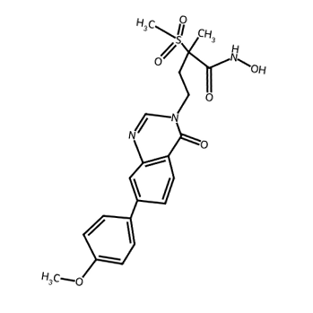 COc1ccc(-c2ccc3c(=O)n(CCC(C)(C(=O)NO)S(C)(=O)=O)cnc3c2)cc1